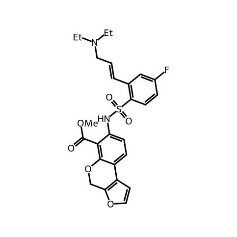 CCN(CC)CC=Cc1cc(F)ccc1S(=O)(=O)Nc1ccc2c(c1C(=O)OC)OCc1occc1-2